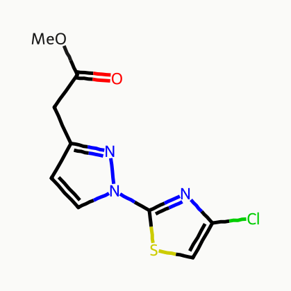 COC(=O)Cc1ccn(-c2nc(Cl)cs2)n1